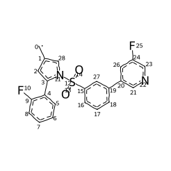 [CH2]c1cc(-c2ccccc2F)n(S(=O)(=O)c2cccc(-c3cncc(F)c3)c2)c1